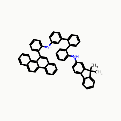 CC1(C)c2ccccc2-c2ccc(Nc3ccccc3-c3ccccc3-c3cccc(Nc4ccccc4-c4cc5ccccc5c5ccc6ccccc6c45)c3)cc21